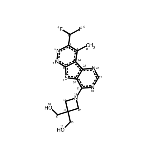 Cc1c(C(F)F)nnc2sc3c(N4CC(CO)(CO)C4)ncnc3c12